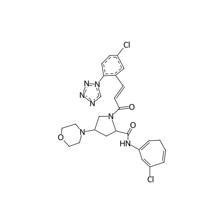 O=C(NC1=CCC=CC(Cl)=C1)C1CC(N2CCOCC2)CN1C(=O)/C=C/c1cc(Cl)ccc1-n1cnnn1